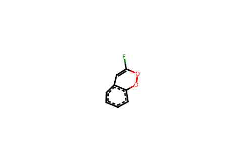 FC1=Cc2ccccc2OO1